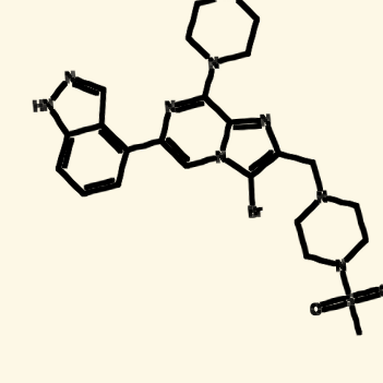 CS(=O)(=O)N1CCN(Cc2nc3c(N4CCOCC4)nc(-c4cccc5[nH]ncc45)cn3c2Br)CC1